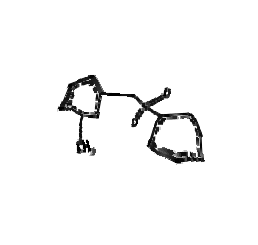 Cc1cccc(CS(=O)(=O)c2ccccc2)c1